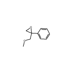 COCC1(c2ccccc2)CO1